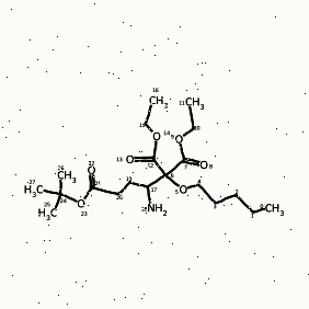 CCCCCOC(C(=O)OCC)(C(=O)OCC)C(N)CCC(=O)OC(C)(C)C